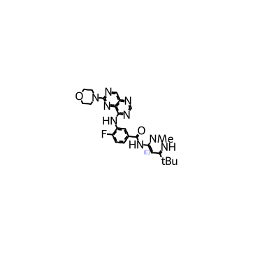 CN/C(=C\C(=N)C(C)(C)C)NC(=O)c1ccc(F)c(Nc2ncnc3cnc(N4CCOCC4)nc23)c1